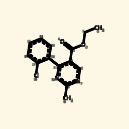 CCOC(=O)c1cnc(C)nc1-c1ccccc1Cl